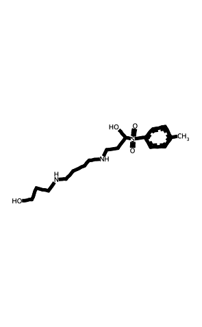 Cc1ccc(S(=O)(=O)C(O)CCNCCCCNCCCO)cc1